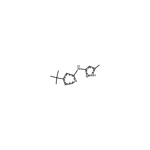 Cc1cc(Nc2cc(C(C)(C)C)ccn2)n[nH]1